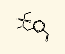 CCS(=O)(=O)N(C)Cc1cccc(C=O)c1